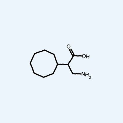 NCC(C(=O)O)C1CCCCCCC1